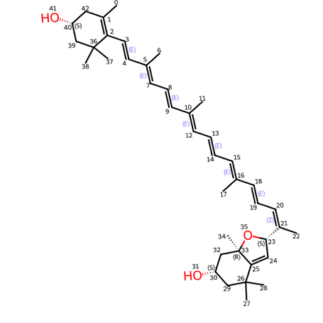 CC1=C(/C=C/C(C)=C/C=C/C(C)=C/C=C/C=C(C)/C=C/C=C(/C)[C@@H]2C=C3C(C)(C)C[C@H](O)C[C@@]3(C)O2)C(C)(C)C[C@H](O)C1